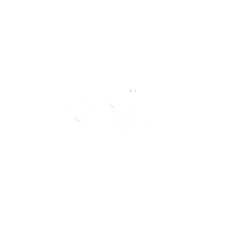 Cc1cc(NC(=O)OC(C)(C)C)cc(NS(=O)(=O)c2c(C(C)C)cc(C(C)C)cc2C(C)C)c1